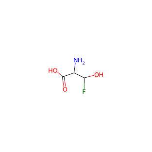 NC(C(=O)O)C(O)F